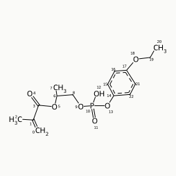 C=C(C)C(=O)OC(C)COP(=O)(O)Oc1ccc(OCC)cc1